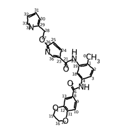 Cc1ccc(NC(=O)c2ccc3c(c2)OCCO3)cc1NC(=O)c1ccc(OCc2ccccn2)nc1